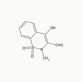 CN1C(C=O)=C(O)c2ccccc2S1(=O)=O